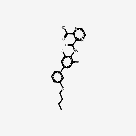 CCCCOc1cccc(-c2cc(F)c(NC(=O)c3nccnc3C(=O)O)c(F)c2)c1